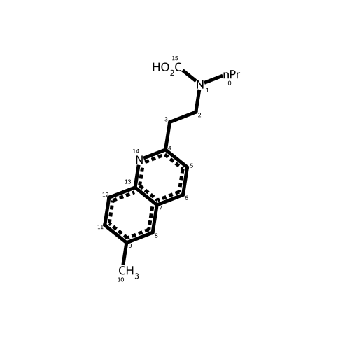 CCCN(CCc1ccc2cc(C)ccc2n1)C(=O)O